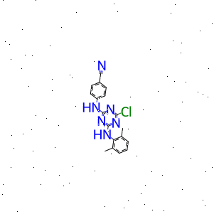 Cc1cccc(C)c1Nc1nc(Cl)nc(Nc2ccc(C#N)cc2)n1